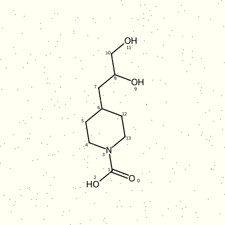 O=C(O)N1CCC(CC(O)CO)CC1